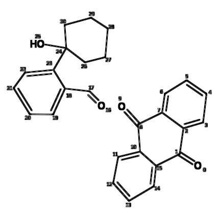 O=C1c2ccccc2C(=O)c2ccccc21.O=Cc1ccccc1C1(O)CCCCC1